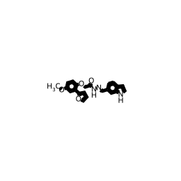 COc1ccc(OCC(=O)N/N=C/c2c#cc3cc[nH]c3c2)c(-c2ccco2)c1